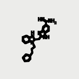 N=C(N)c1ccc2[nH]c(CC3Nc4ccccc4N3CCCc3ccccc3)nc2c1